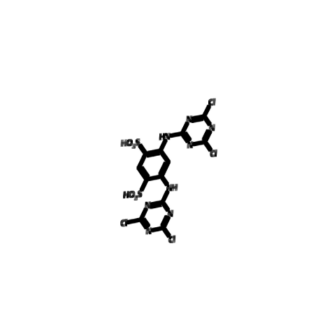 O=S(=O)(O)c1cc(S(=O)(=O)O)c(Nc2nc(Cl)nc(Cl)n2)cc1Nc1nc(Cl)nc(Cl)n1